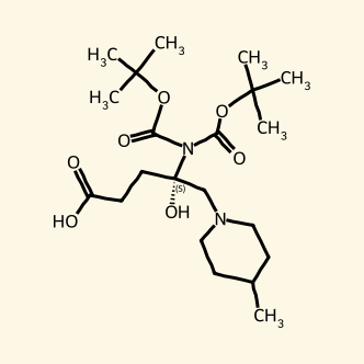 CC1CCN(C[C@@](O)(CCC(=O)O)N(C(=O)OC(C)(C)C)C(=O)OC(C)(C)C)CC1